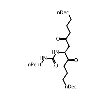 CCCCCCCCCCCCCC(=O)C[C@H](NC(=O)NCCCCC)C(=O)CCCCCCCCCCCCC